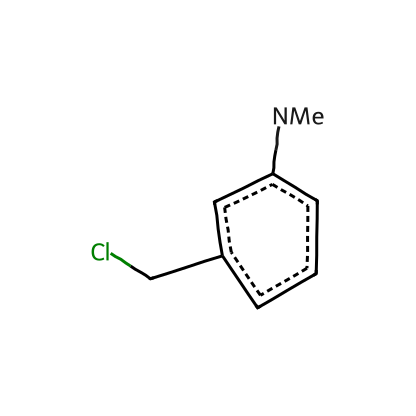 CNc1cccc(CCl)c1